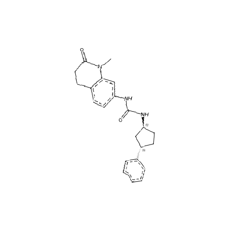 CN1C(=O)CCc2ccc(NC(=O)N[C@H]3CC[C@H](c4ccccc4)C3)cc21